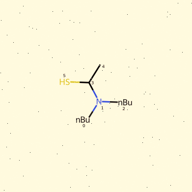 CCCCN(CCCC)C(C)S